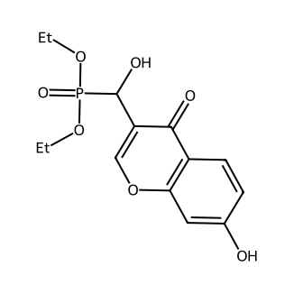 CCOP(=O)(OCC)C(O)c1coc2cc(O)ccc2c1=O